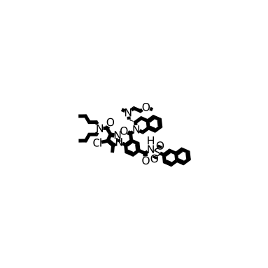 CCCCN(CCCC)C(=O)c1nn(-c2ccc(C(=O)NS(=O)(=O)c3ccc4ccccc4c3)cc2C(=O)N2Cc3ccccc3C[C@H]2CN(C)CCOC)c(C)c1Cl